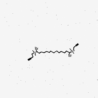 C#CCC[N+](C)(C)C(Br)CCCCCCCCCCCCC(Br)[N+](C)(C)CCC#C